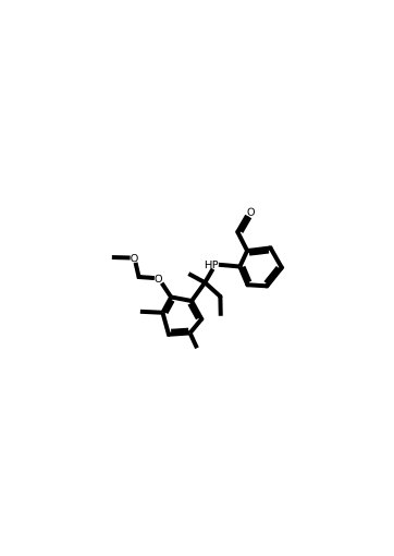 CCC(C)(Pc1ccccc1C=O)c1cc(C)cc(C)c1OCOC